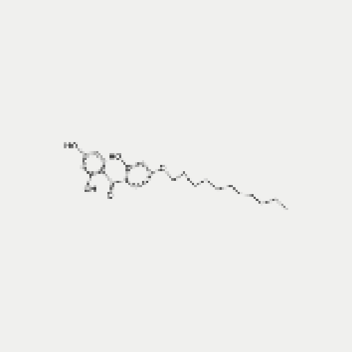 CCCCCCCCCCCOc1ccc(C(=O)c2ccc(O)cc2O)c(O)c1